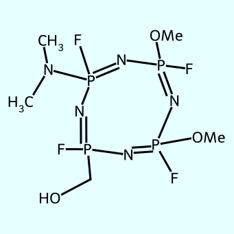 COP1(F)=NP(F)(CO)=NP(F)(N(C)C)=NP(F)(OC)=N1